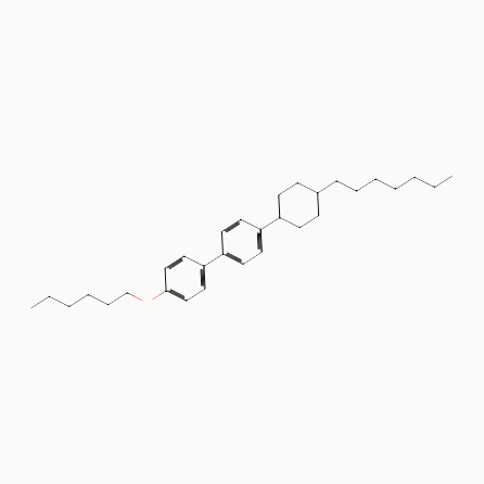 CCCCCCCC1CCC(c2ccc(-c3ccc(OCCCCCC)cc3)cc2)CC1